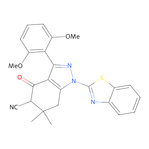 COc1cccc(OC)c1-c1nn(-c2nc3ccccc3s2)c2c1C(=O)C(C#N)C(C)(C)C2